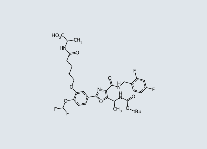 CC(NC(=O)CCCCOc1cc(-c2nc(C(=O)NCc3ccc(F)cc3F)c(C(C)NC(=O)OC(C)(C)C)o2)ccc1OC(F)F)C(=O)O